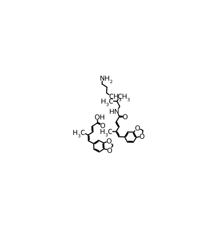 CC(C=CC(=O)NCC(C)C)=Cc1ccc2c(c1)OCO2.CC(C=CC(=O)O)=Cc1ccc2c(c1)OCO2.CCCCN